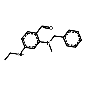 CCNc1ccc([C]=O)c(N(C)Cc2ccccc2)c1